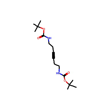 CC(C)(C)OC(=O)NCCC#CCCNC(=O)OC(C)(C)C